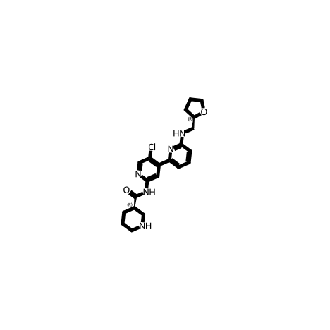 O=C(Nc1cc(-c2cccc(NC[C@H]3CCCO3)n2)c(Cl)cn1)[C@@H]1CCCNC1